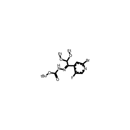 CCOC(OCC)/C(=N\NC(=O)OC(C)(C)C)c1cc(Br)ncc1F